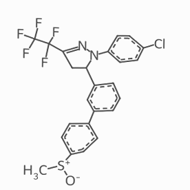 C[S+]([O-])c1ccc(-c2cccc(C3CC(C(F)(F)C(F)(F)F)=NN3c3ccc(Cl)cc3)c2)cc1